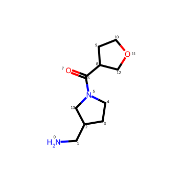 NCC1CCN(C(=O)C2CCOC2)C1